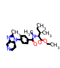 CCOC(=O)[C@H]([C@@H](C)CC)N(C)C(=O)c1ccc(-n2c(C)nc3cnccc32)cc1